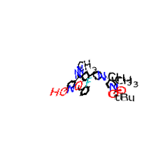 Cn1nc(-c2ccc(O)nc2OCc2ccccc2)c2cc(F)c(C3CCN(C[C@H]4CCN(C(=O)OC(C)(C)C)CC4(C)C)CC3)cc21